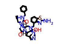 C#CCN(C(=O)NCc1ccccc1)N1CC(=O)N2[C@H]3C/C(C)=C/N=C\N(O)C3(C)N(Cc3cccc4sc(N)nc34)C[C@@H]21